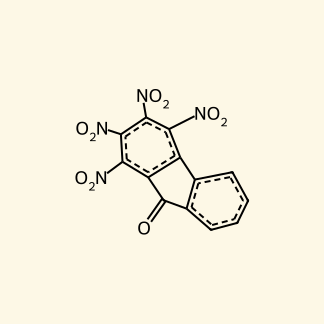 O=C1c2ccccc2-c2c1c([N+](=O)[O-])c([N+](=O)[O-])c([N+](=O)[O-])c2[N+](=O)[O-]